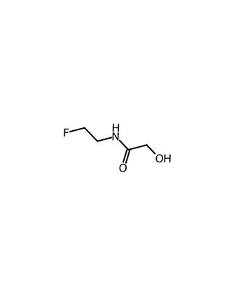 O=C(CO)NCCF